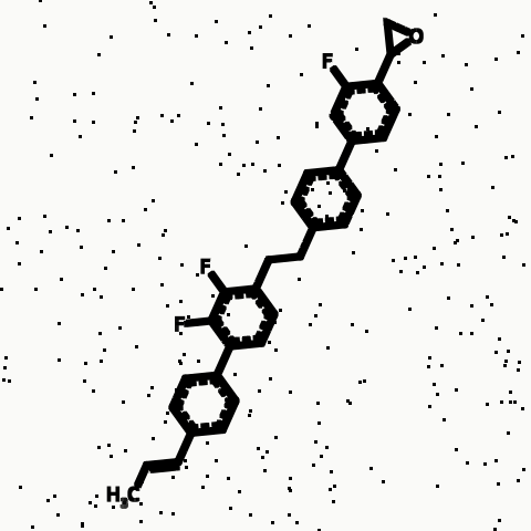 C/C=C/c1ccc(-c2ccc(CCc3ccc(-c4ccc(C5CO5)c(F)c4)cc3)c(F)c2F)cc1